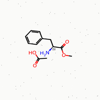 CC(=O)O.COC(=O)[C@@H](N)Cc1ccccc1